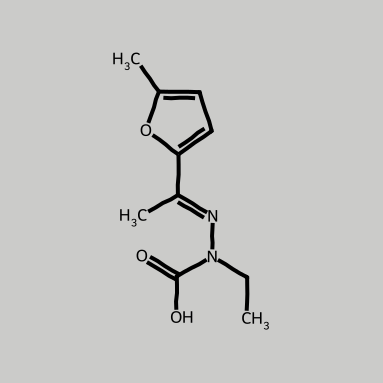 CCN(N=C(C)c1ccc(C)o1)C(=O)O